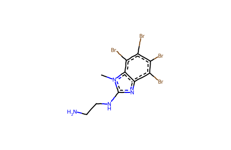 Cn1c(NCCN)nc2c(Br)c(Br)c(Br)c(Br)c21